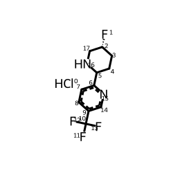 Cl.F[C@@H]1CCC(c2ccc(C(F)(F)F)cn2)NC1